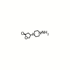 NN1CCN(C2COC(=O)C2)CC1